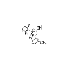 O=C(NC(CCO)c1cccc(C(F)(F)F)c1)c1c(F)cccc1F